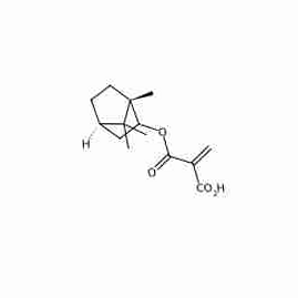 C=C(C(=O)O)C(=O)OC1C[C@H]2CC[C@@]1(C)C2(C)C